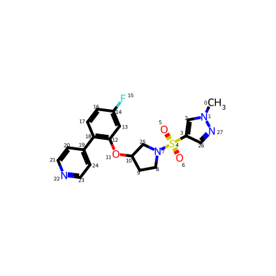 Cn1cc(S(=O)(=O)N2CCC(Oc3cc(F)ccc3-c3ccncc3)C2)cn1